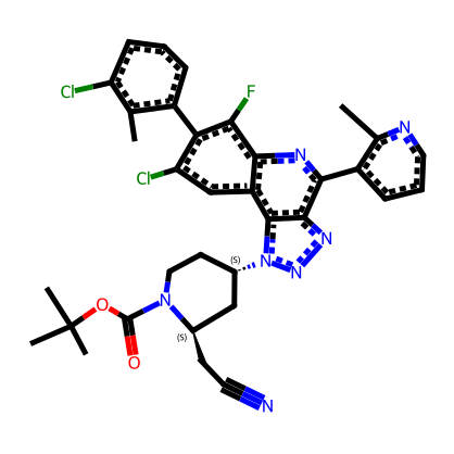 Cc1ncccc1-c1nc2c(F)c(-c3cccc(Cl)c3C)c(Cl)cc2c2c1nnn2[C@H]1CCN(C(=O)OC(C)(C)C)[C@H](CC#N)C1